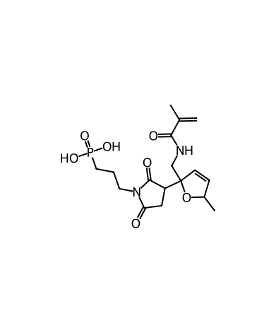 C=C(C)C(=O)NCC1(C2CC(=O)N(CCCP(=O)(O)O)C2=O)C=CC(C)O1